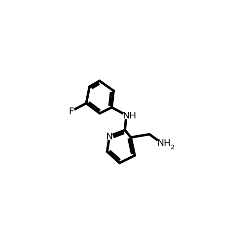 NCc1cccnc1Nc1cccc(F)c1